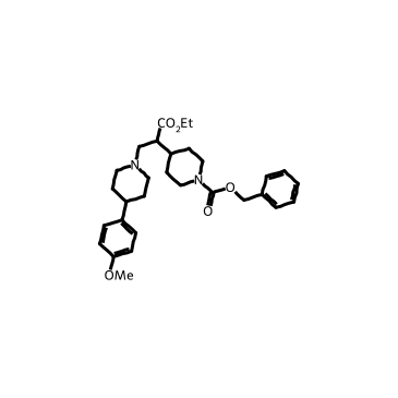 CCOC(=O)C(CN1CCC(c2ccc(OC)cc2)CC1)C1CCN(C(=O)OCc2ccccc2)CC1